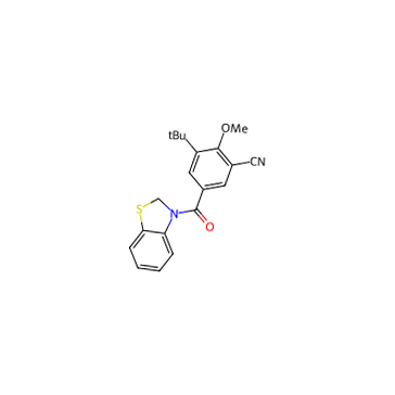 COc1c(C#N)cc(C(=O)N2CSc3ccccc32)cc1C(C)(C)C